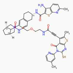 Cc1ccnc(-n2c(S)nc3sc(C)c(C#CC(=O)NCCOCCNC(=O)C4[C@@H]5CC[C@H]4CN(c4ccc6c(c4)CC[C@H](NC(=O)c4sc7nc(C)ccc7c4N)C6)C5)c3c2=O)c1